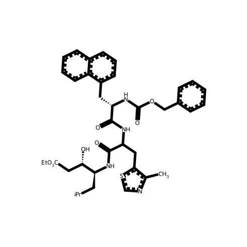 CCOC(=O)C[C@H](O)[C@H](CC(C)C)NC(=O)C(Cc1scnc1C)NC(=O)[C@H](Cc1cccc2ccccc12)NC(=O)OCc1ccccc1